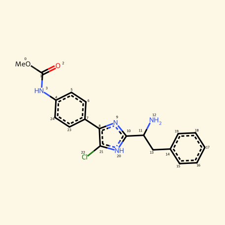 COC(=O)Nc1ccc(-c2nc(C(N)Cc3ccccc3)[nH]c2Cl)cc1